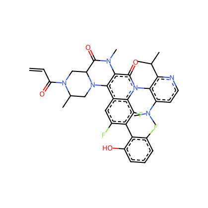 C=CC(=O)N1CC2C(=O)N(C)c3c(c4cc(F)c(-c5c(O)cccc5F)c(F)c4n(-c4c(N(C)C)ccnc4C(C)C)c3=O)N2CC1C